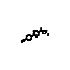 C#CC1CCC(C2SCC(C(C)C(F)(F)F)CS2)CC1